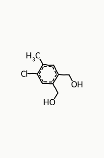 Cc1cc(CO)c(CO)cc1Cl